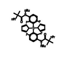 CCCCN(C(=O)C(C)(C)CCC)c1ccc(F)[c]([Ti]([c]2c(F)ccc(N(CCCC)C(=O)C(C)(C)CCC)c2F)([CH]2C=CC=C2)[CH]2C=CC=C2)c1F